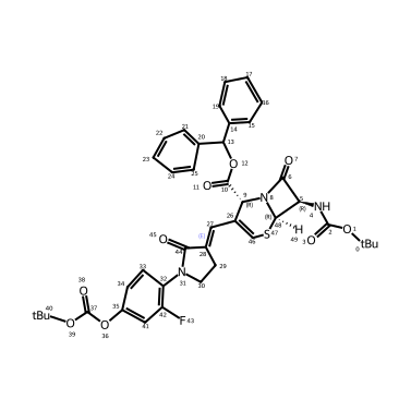 CC(C)(C)OC(=O)N[C@@H]1C(=O)N2[C@@H](C(=O)OC(c3ccccc3)c3ccccc3)C(/C=C3\CCN(c4ccc(OC(=O)OC(C)(C)C)cc4F)C3=O)=CS[C@H]12